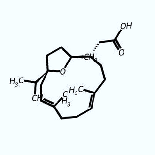 C/C1=C\C[C@]2(C(C)C)CC[C@@](C)(O2)[C@H](CC(=O)O)CC/C(C)=C/CC1